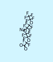 O=C([O-])C(F)(F)OC(F)(F)C(F)(F)OC(F)(F)C(F)(F)OC(F)(F)C(F)(F)F.[Na+]